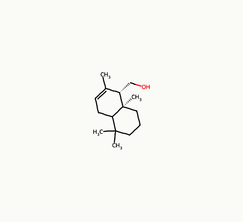 CC1=CCC2C(C)(C)CCC[C@]2(C)[C@H]1CO